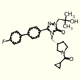 CC(C)(O)Cn1nc(-c2ccc(-c3ccc(F)cc3)cc2)n(C[C@@H]2CCN(C(=O)C3CC3)C2)c1=O